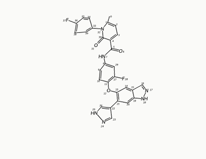 Cc1ccc(C(=O)Nc2ccc(Oc3cc4cn[nH]c4cc3-c3cn[nH]c3)c(F)c2)c(=O)n1-c1ccc(F)cc1